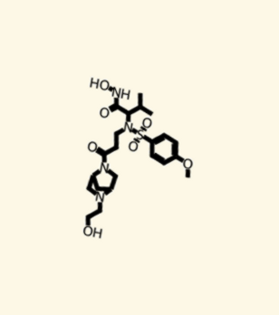 COc1ccc(S(=O)(=O)N(CCC(=O)N2CC3CC2CN3CCO)C(C(=O)NO)C(C)C)cc1